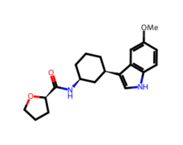 COc1ccc2[nH]cc([C@@H]3CCC[C@H](NC(=O)[C@H]4CCCO4)C3)c2c1